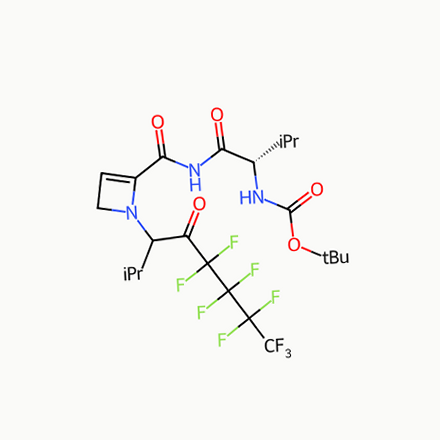 CC(C)C(C(=O)C(F)(F)C(F)(F)C(F)(F)C(F)(F)F)N1CC=C1C(=O)NC(=O)[C@@H](NC(=O)OC(C)(C)C)C(C)C